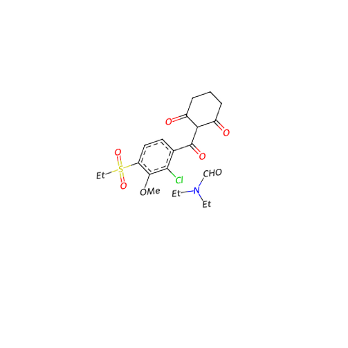 CCN(C=O)CC.CCS(=O)(=O)c1ccc(C(=O)C2C(=O)CCCC2=O)c(Cl)c1OC